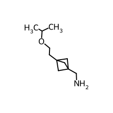 CC(C)OCCC12CC(CN)(C1)C2